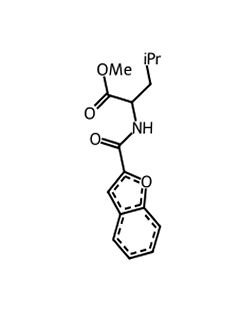 COC(=O)C(CC(C)C)NC(=O)c1cc2ccccc2o1